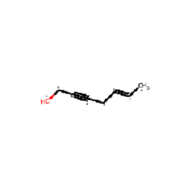 C/C=C/CC#CCO